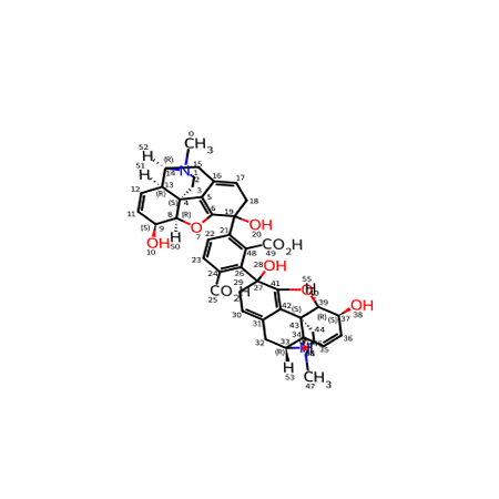 CN1CC[C@]23C4=C5O[C@H]2[C@@H](O)C=C[C@H]3[C@H]1CC4=CCC5(O)c1ccc(C(=O)O)c(C2(O)CC=C3C[C@@H]4[C@@H]5C=C[C@H](O)[C@@H]6OC2=C3[C@]56CCN4C)c1C(=O)O